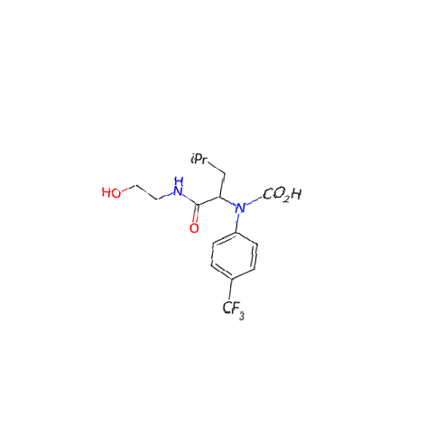 CC(C)CC(C(=O)NCCO)N(C(=O)O)c1ccc(C(F)(F)F)cc1